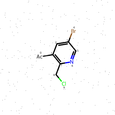 CC(=O)c1cc(Br)cnc1CCl